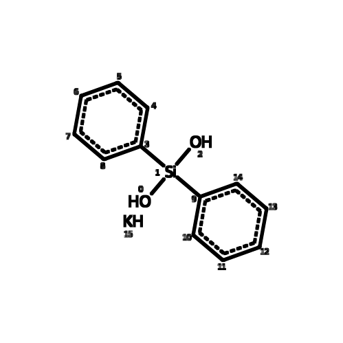 O[Si](O)(c1ccccc1)c1ccccc1.[KH]